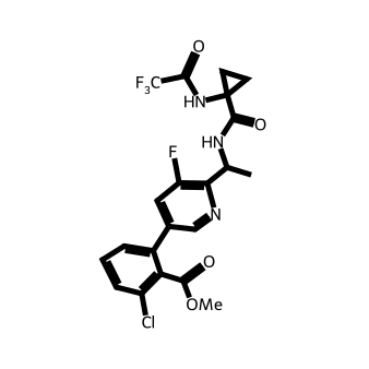 COC(=O)c1c(Cl)cccc1-c1cnc(C(C)NC(=O)C2(NC(=O)C(F)(F)F)CC2)c(F)c1